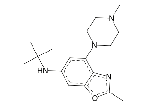 Cc1nc2c(N3CCN(C)CC3)cc(NC(C)(C)C)cc2o1